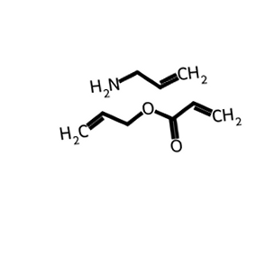 C=CCN.C=CCOC(=O)C=C